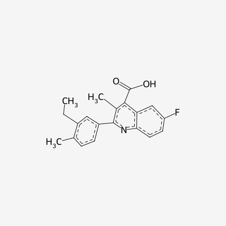 CCc1cc(-c2nc3ccc(F)cc3c(C(=O)O)c2C)ccc1C